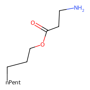 CCCCCCCCOC(=O)CCN